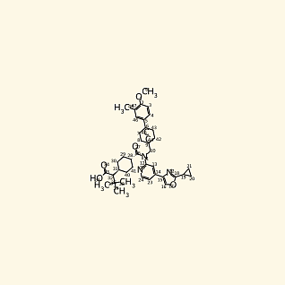 COc1ccc(C23CCC(CN(c4cc(-c5coc(C6CC6)n5)ccn4)C(=O)[C@H]4CC[C@H](C(C(=O)O)C(C)(C)C)CC4)(CC2)CC3)cc1C